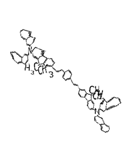 CC1(C)c2cc(/C=C/c3ccc(/C=C/c4ccc5c(c4)C(C)(C)c4cc(N(c6ccc7ccccc7c6)c6ccc7ccccc7c6)ccc4-5)cc3)ccc2-c2ccc(N(c3ccc4ccccc4c3)c3ccc4ccccc4c3)cc21